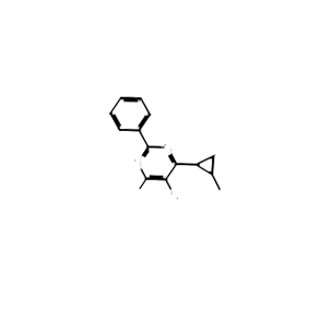 CCc1nc(-c2ccccc2)nc(C2CC2C)c1N